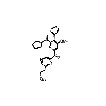 COc1cc([S+]([O-])c2cncc(CCO)n2)nc(NC2CCCC2)c1-c1ccncc1